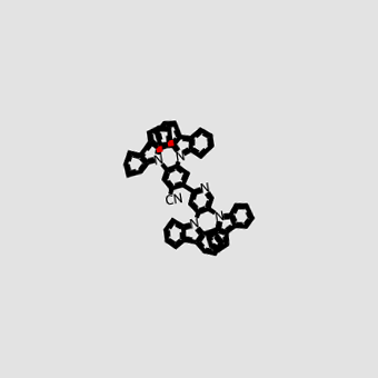 N#Cc1cc(-n2c3ccccc3c3ccccc32)c(-n2c3ccccc3c3ccccc32)cc1-c1cc(-n2c3ccccc3c3ccccc32)c(-n2c3ccccc3c3ccccc32)cn1